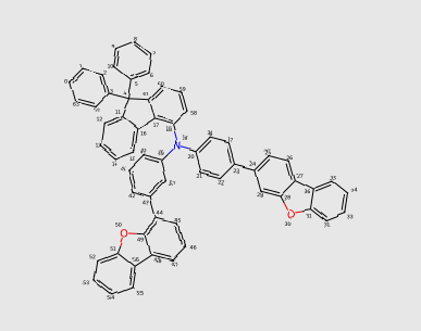 c1ccc(C2(c3ccccc3)c3ccccc3-c3c(N(c4ccc(-c5ccc6c(c5)oc5ccccc56)cc4)c4cccc(-c5cccc6c5oc5ccccc56)c4)cccc32)cc1